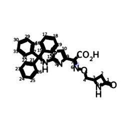 O=C1CC(CO/N=C(\C(=O)O)c2csc(NC(c3ccccc3)(c3ccccc3)c3ccccc3)n2)N1